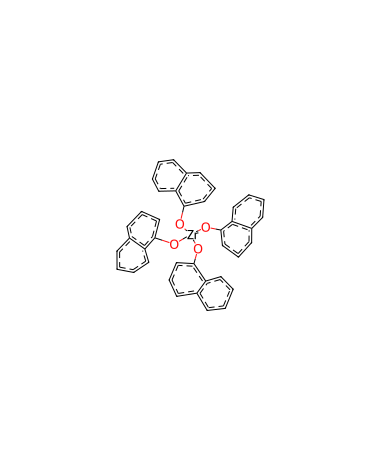 c1ccc2c([O][Zr]([O]c3cccc4ccccc34)([O]c3cccc4ccccc34)[O]c3cccc4ccccc34)cccc2c1